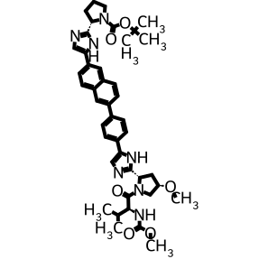 COC(=O)N[C@H](C(=O)N1C[C@@H](OC)C[C@H]1c1ncc(-c2ccc(-c3ccc4cc(-c5cnc([C@@H]6CCCN6C(=O)OC(C)(C)C)[nH]5)ccc4c3)cc2)[nH]1)C(C)C